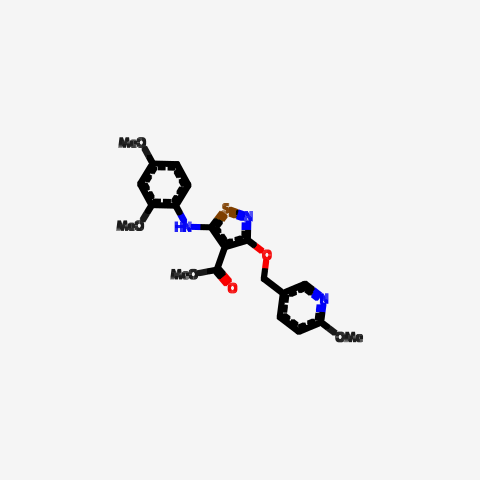 COC(=O)c1c(OCc2ccc(OC)nc2)nsc1Nc1ccc(OC)cc1OC